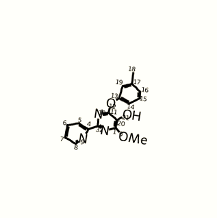 COc1nc(-c2ccccn2)nc(Oc2cccc(C)c2)c1O